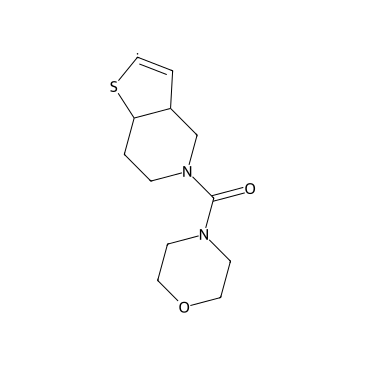 O=C(N1CCOCC1)N1CCC2S[C]=CC2C1